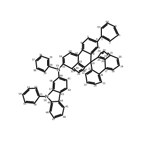 c1ccc(-c2ccc3c(c2)C2(c4ccccc4-c4cccc5cccc2c45)c2cccc4c(N(c5ccccc5)c5ccc6c7ccccc7n(-c7ccccc7)c6c5)ccc-3c24)cc1